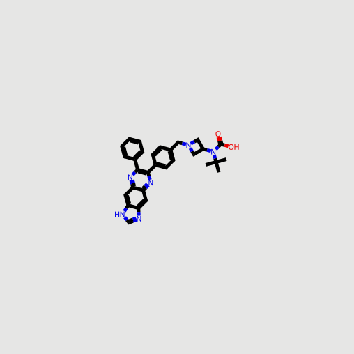 CC(C)(C)N(C(=O)O)C1CN(Cc2ccc(-c3nc4cc5nc[nH]c5cc4nc3-c3ccccc3)cc2)C1